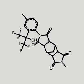 Cc1ccc(N2C(=O)C3C4CC(C5C(=O)N(C)C(=O)C45)C3C2=O)c(C(O)(C(F)(F)F)C(F)(F)F)c1